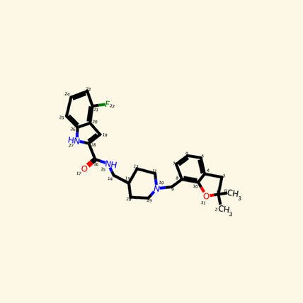 CC1(C)Cc2cccc(CN3CCC(CNC(=O)c4cc5c(F)cccc5[nH]4)CC3)c2O1